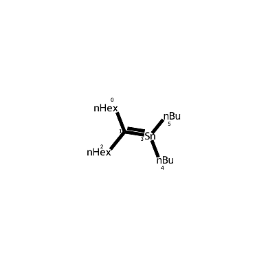 CCCCCC[C](CCCCCC)=[Sn]([CH2]CCC)[CH2]CCC